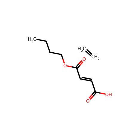 C=C.CCCCOC(=O)C=CC(=O)O